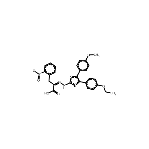 CCOc1ccc(-c2nc(N/N=C(/Cc3ccccc3[N+](=O)[O-])C(=O)O)sc2-c2ccc(OC)cc2)cc1